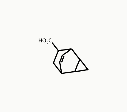 O=C(O)C1CC2C=CC1C1CC21